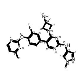 Cc1ccnc(Oc2ccc(-c3cnc(Nc4cnn(C)c4)nc3N3CC(N)C3)cc2F)n1